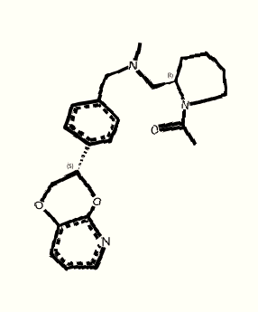 CC(=O)N1CCCC[C@@H]1CN(C)Cc1ccc([C@H]2COc3cccnc3O2)cc1